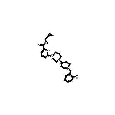 O=C(NCC1CC1)C1=CC=CC(N2CCCN(C3CCN(Cc4ccccc4Cl)CC3)CC2)N1